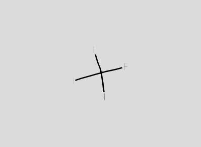 FC(I)(I)I